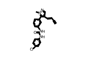 C#C/C=C/c1cnn(C)c1-c1cccc(NC(=O)Nc2ccc(Cl)cc2)c1